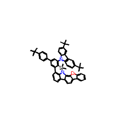 CC(C)(C)c1ccc(-c2cc3c(c(-n4c5ccc(C(C)(C)C)cc5c5cc(C(C)(C)C)ccc54)c2)[Si](C)(C)n2c4c-3cccc4c3ccc4c5ccccc5oc4c32)cc1